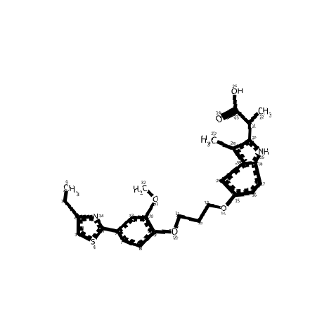 CCc1csc(-c2ccc(OCCCOc3ccc4[nH]c(C(C)C(=O)O)c(C)c4c3)c(OC)c2)n1